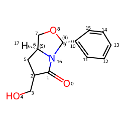 O=C1C(CO)C[C@H]2CO[C@H](c3ccccc3)N12